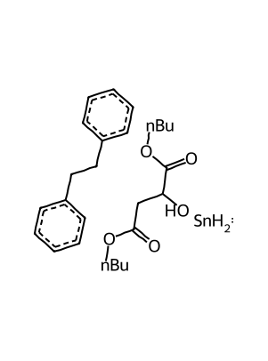 CCCCOC(=O)CC(O)C(=O)OCCCC.[SnH2].c1ccc(CCc2ccccc2)cc1